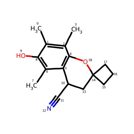 Cc1c(C)c2c(c(C)c1O)C(C#N)CC1(CCC1)O2